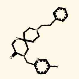 O=C1COC2(CCN(CCc3ccccc3)CC2)CN1Cc1ccc(F)cn1